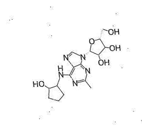 Cc1nc(NC2CCCC2O)c2ncn([C@@H]3O[C@H](CO)C(O)C3O)c2n1